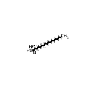 CCCCCCCCCCCCCCCCC(O)C(=O)O